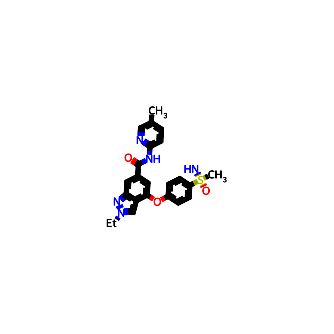 CCn1cc2c(Oc3ccc(S(C)(=N)=O)cc3)cc(C(=O)Nc3ccc(C)cn3)cc2n1